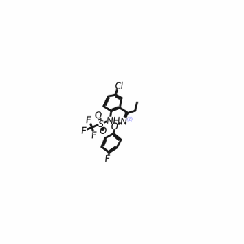 CC/C(=N/Oc1ccc(F)cc1)c1cc(Cl)ccc1NS(=O)(=O)C(F)(F)F